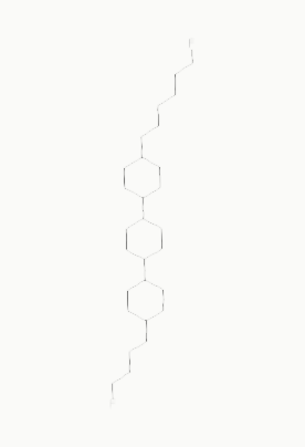 FCCCCCCC1CCC(C2CCC(C3CCC(CCCCF)CC3)CC2)CC1